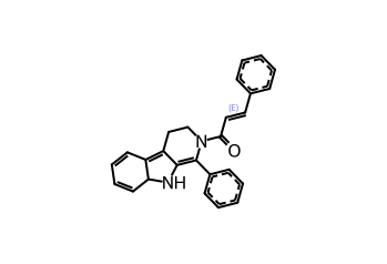 O=C(/C=C/c1ccccc1)N1CCC2=C3C=CC=CC3NC2=C1c1ccccc1